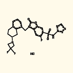 Cl.O=c1oc2cc(S(=O)(=O)Nc3ncns3)c(F)cc2n1Cc1cccc2c1CC(N1CC(F)(F)C1)CC2